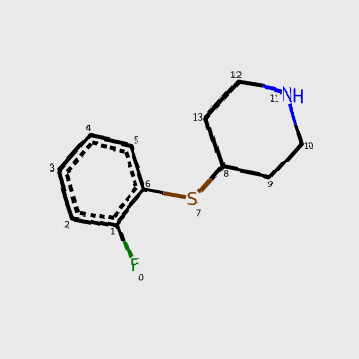 Fc1ccccc1SC1CCNCC1